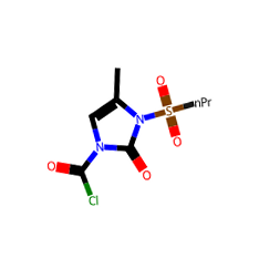 CCCS(=O)(=O)n1c(C)cn(C(=O)Cl)c1=O